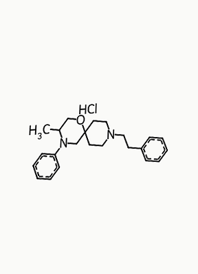 CC1COC2(CCN(CCc3ccccc3)CC2)CN1c1ccccc1.Cl